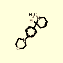 CCC1(c2ccc(N3CCOCC3)cc2)CC=CCN1C